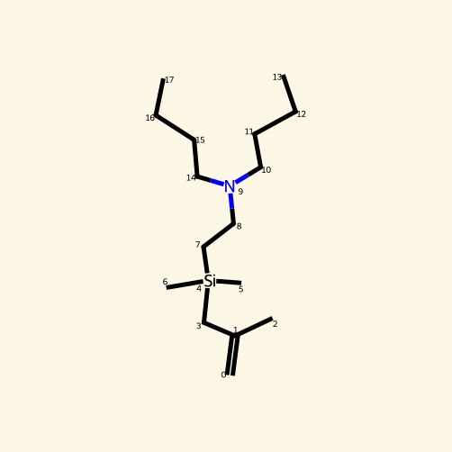 C=C(C)C[Si](C)(C)CCN(CCCC)CCCC